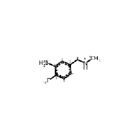 Bc1cc(CNC)ccc1F